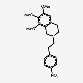 COc1cc2c(c(OC)c1OC)CN(CCc1ccc([N+](=O)[O-])cc1)CC2